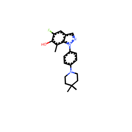 Cc1c(O)c(F)cc2cnn(-c3ccc(N4CCC(C)(C)CC4)cc3)c12